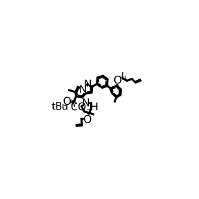 C=CCC[C@H](C)Oc1ccc(C)cc1-c1cccc(-c2cc3c(N4CCC(C)(OCC=C)CC4)c([C@H](OC(C)(C)C)C(=O)O)c(C)cn3n2)c1